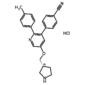 Cc1ccc(-c2ncc(OC[C@@H]3CCNC3)cc2-c2ccc(C#N)cc2)cc1.Cl